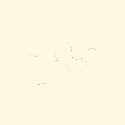 O=C(Cl)c1ccccc1C(=O)c1cccc2c1C(=O)OC2=O